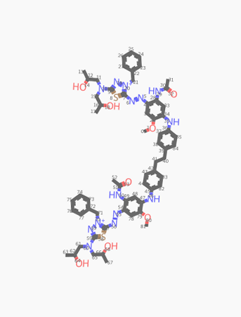 COc1cc(N=Nc2sc(N(CC(C)O)CC(C)O)n[n+]2Cc2ccccc2)c(NC(C)=O)cc1Nc1ccc(CCc2ccc(Nc3cc(NC(C)=O)c(N=Nc4sc(N(CC(C)O)CC(C)O)n[n+]4Cc4ccccc4)cc3OC)cc2)cc1